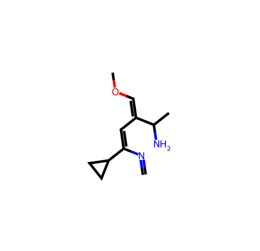 C=N/C(=C\C(=C/OC)C(C)N)C1CC1